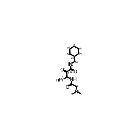 CCCC(NC(=O)CN(C)C)C(=O)C(=O)NCC1CCCCC1